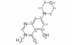 Cn1cnc2cc(N3CCOCC3)cc(O)c2c1=O